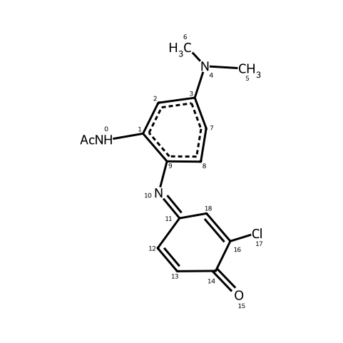 CC(=O)Nc1cc(N(C)C)ccc1N=C1C=CC(=O)C(Cl)=C1